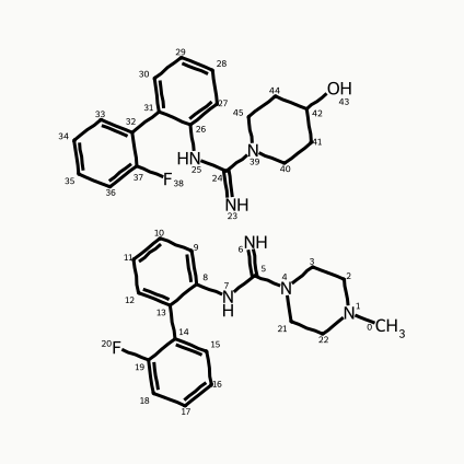 CN1CCN(C(=N)Nc2ccccc2-c2ccccc2F)CC1.N=C(Nc1ccccc1-c1ccccc1F)N1CCC(O)CC1